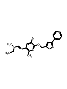 CCN(C)/C=N/c1cc(Br)c(OCc2cc(-c3ccccc3)ns2)nc1C